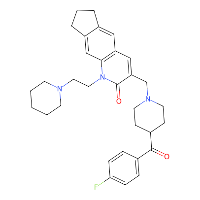 O=C(c1ccc(F)cc1)C1CCN(Cc2cc3cc4c(cc3n(CCN3CCCCC3)c2=O)CCC4)CC1